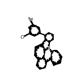 Clc1cc(Br)cc(-c2cccc3c2c2ccc4cccc5c6ccccc6n3c2c45)c1